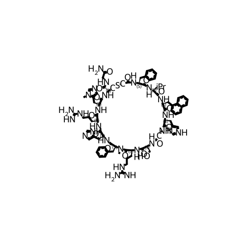 CC(C)[C@@H]1NC(=O)[C@H](Cc2ccccc2)NC(=O)CSC[C@@H](C(=O)NCC(N)=O)NC(=O)[C@H](Cc2cncn2C)NC(=O)[C@H](CCCNC(=N)N)NC(=O)[C@H](Cc2cnc[nH]2)NC(=O)[C@H](Cc2ccccc2)N(C)C(=O)[C@H](CCCNC(=N)N)NC(=O)[C@H](CO)NC(=O)CNC(=O)[C@H](Cc2c[nH]cn2)NC(=O)[C@H](Cc2cccc3ccccc23)NC1=O